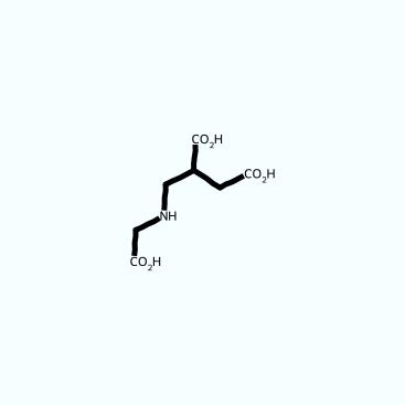 O=C(O)CNCC(CC(=O)O)C(=O)O